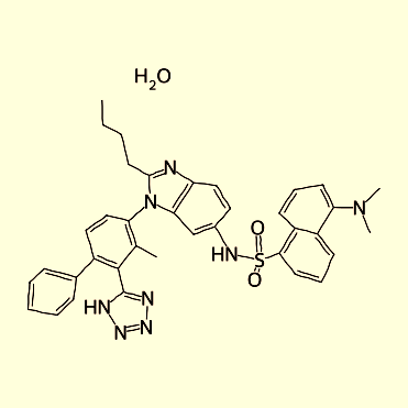 CCCCc1nc2ccc(NS(=O)(=O)c3cccc4c(N(C)C)cccc34)cc2n1-c1ccc(-c2ccccc2)c(-c2nnn[nH]2)c1C.O